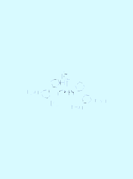 CCCC1=Cc2c(-c3cc(C(C)(C)C)cc(C(C)(C)C)c3)cccc2[CH]1[Hf]1([CH]2C(CCC)=Cc3c(-c4cc(C(C)(C)C)cc(C(C)(C)C)c4)cccc32)[CH2][CH2]1.Cl.Cl